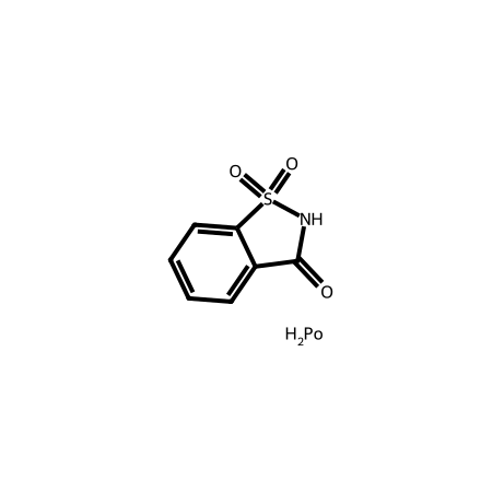 O=C1NS(=O)(=O)c2ccccc21.[PoH2]